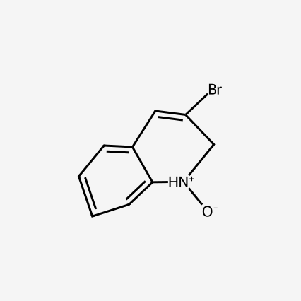 [O-][NH+]1CC(Br)=Cc2ccccc21